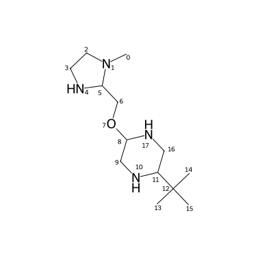 CN1CCNC1COC1CNC(C(C)(C)C)CN1